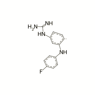 N=C(N)Nc1cc[c]c(Nc2ccc(F)cc2)c1